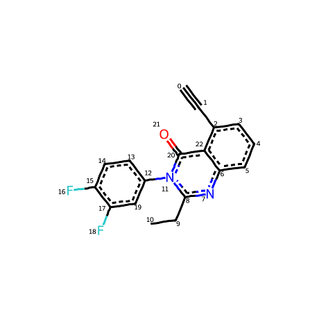 C#Cc1cccc2nc(CC)n(-c3ccc(F)c(F)c3)c(=O)c12